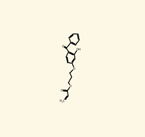 C=CC(=O)OCCCOc1ccc(C(=O)c2ccccc2)c(O)c1